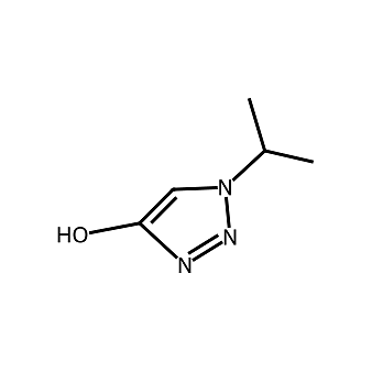 CC(C)n1cc(O)nn1